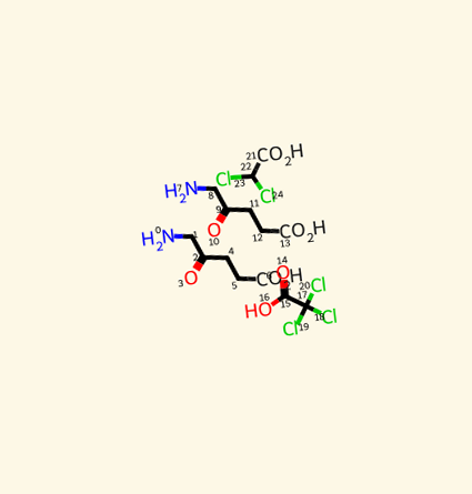 NCC(=O)CCC(=O)O.NCC(=O)CCC(=O)O.O=C(O)C(Cl)(Cl)Cl.O=C(O)C(Cl)Cl